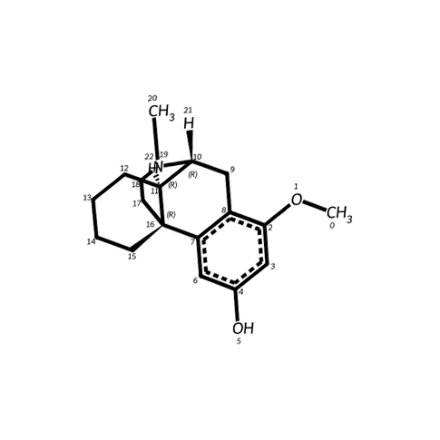 COc1cc(O)cc2c1C[C@@H]1[C@@H]3CCCC[C@]23CCN1C